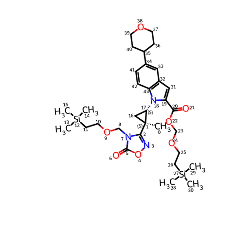 C[C@]1(c2noc(=O)n2COCC[Si](C)(C)C)C[C@@H]1n1c(C(=O)OCOCC[Si](C)(C)C)cc2cc(C3CCOCC3)ccc21